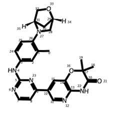 Cc1cc(Nc2nccc(-c3cnc4c(c3)OC(C)(C)C(=O)N4)n2)ccc1N1C[C@@H]2C[C@H]1CO2